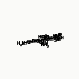 NCCCOCCOCCOCCCC(CC(N)=O)[C@H](NC(=O)CCCC[C@@H]1SC[C@@H]2NC(=O)N[C@@H]21)C(=O)O